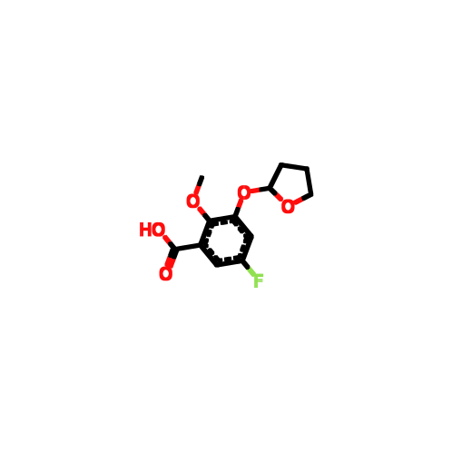 COc1c(OC2CCCO2)cc(F)cc1C(=O)O